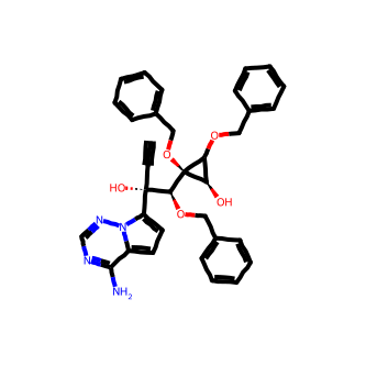 C#C[C@](O)(c1ccc2c(N)ncnn12)[C@H](OCc1ccccc1)[C@]1(OCc2ccccc2)C(OCc2ccccc2)[C@H]1O